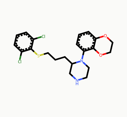 Clc1cccc(Cl)c1SCCCC1CNCCN1c1cccc2c1OCCO2